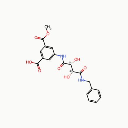 COC(=O)c1cc(NC(=O)[C@H](O)[C@@H](O)C(=O)NCc2ccccc2)cc(C(=O)O)c1